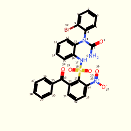 NC(=O)N(c1ccccc1Br)c1ccccc1NS(=O)(=O)c1c(C(=O)c2ccccc2)cccc1[N+](=O)[O-]